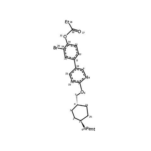 CCCCC[C@H]1CC[C@H](COc2ncc(-c3ccc(OC(=O)CC)c(Br)c3)cn2)CC1